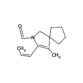 C/C=C\C1=C(C)C2(CCCC2)CN1C=O